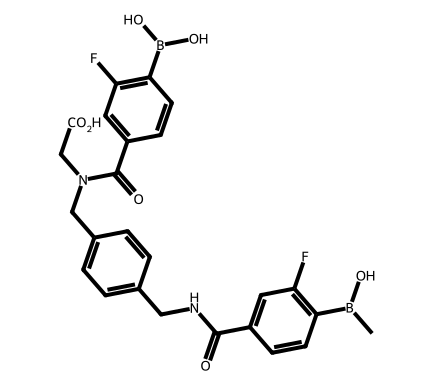 CB(O)c1ccc(C(=O)NCc2ccc(CN(CC(=O)O)C(=O)c3ccc(B(O)O)c(F)c3)cc2)cc1F